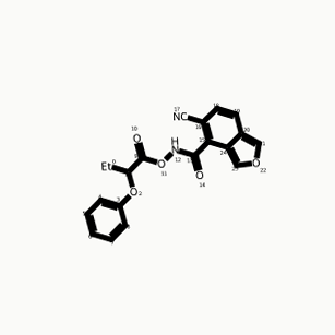 CCC(Oc1ccccc1)C(=O)ONC(=O)c1c(C#N)ccc2cocc12